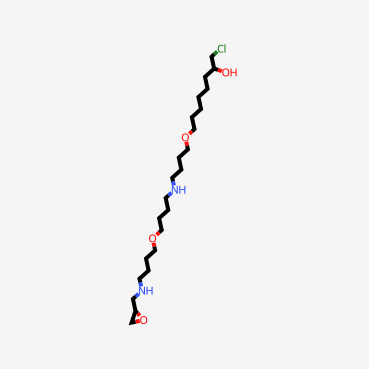 OC(CCl)CCCCCCOCCCCNCCCCOCCCCNCC1CO1